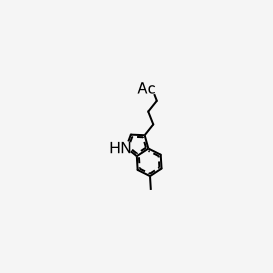 CC(=O)CCCc1c[nH]c2cc(C)ccc12